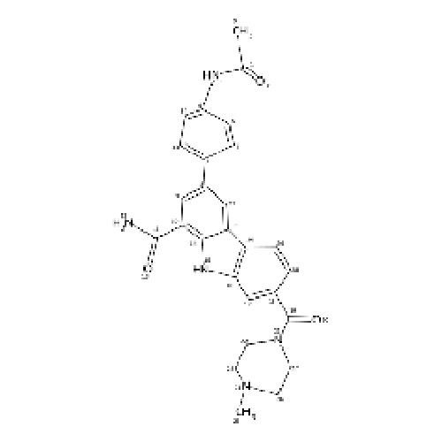 CC(=O)Nc1ccc(-c2cc(C(N)=O)c3[nH]c4cc(C(=O)N5CCN(C)CC5)ccc4c3c2)cc1